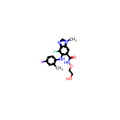 Cc1cc(I)ccc1Nc1c(C(=O)NOCCO)cc2c(ncn2C)c1F